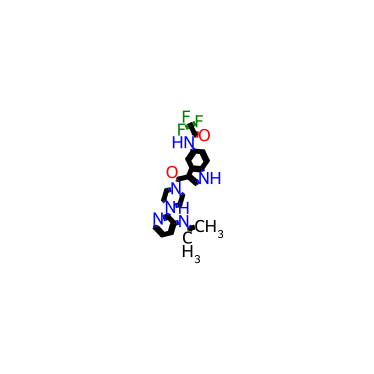 CC(C)Nc1cccnc1N1CCN(C(=O)c2c[nH]c3ccc(NC(=O)C(F)(F)F)cc23)CC1